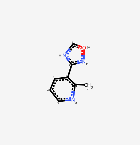 Cc1ncccc1-c1ncon1